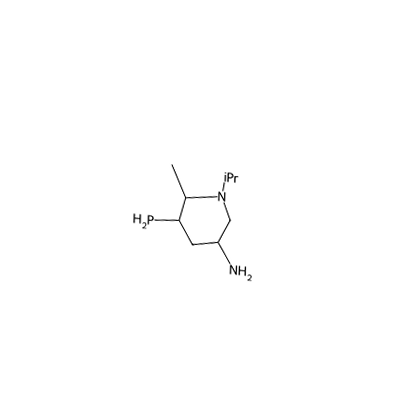 CC(C)N1CC(N)CC(P)C1C